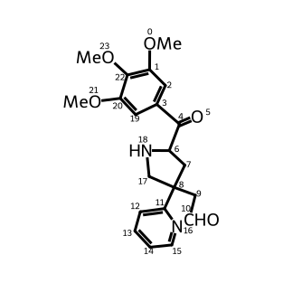 COc1cc(C(=O)C2CC(CC=O)(c3ccccn3)CN2)cc(OC)c1OC